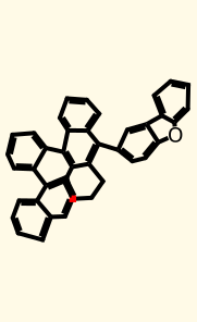 C1=Cc2c(c(-c3ccc4oc5ccccc5c4c3)c3ccccc3c2-c2ccccc2-c2cccc3ccccc23)CC1